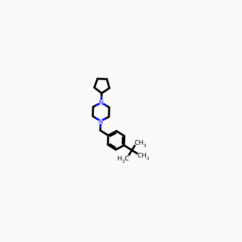 CC(C)(C)c1ccc(CN2CCN(C3CCCC3)CC2)cc1